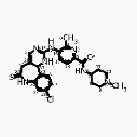 Cc1nc(C(=O)NC2CCN(C)CC2)ccc1NC1=NC=C2CC(=S)Nc3cc(Cl)ccc3C2N1